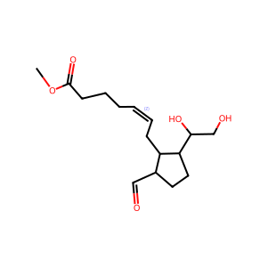 COC(=O)CCC/C=C\CC1C(C=O)CCC1C(O)CO